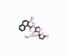 CCOc1ccc2ccccc2c1C(=O)N[C@H]1CON(C2(C(=O)[O-])CCC(=O)O2)C1=O.[Na+]